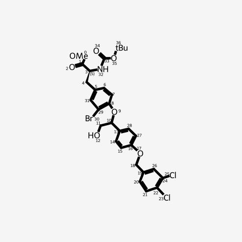 COC(=O)[C@H](Cc1ccc(OC(CO)c2ccc(OCc3ccc(Cl)c(Cl)c3)cc2)c(Br)c1)NC(=O)OC(C)(C)C